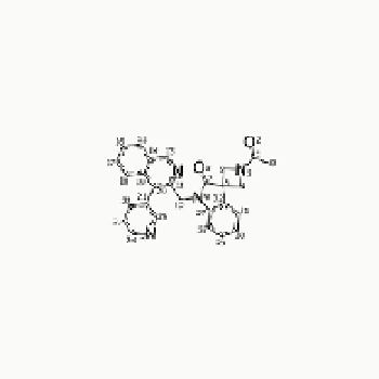 CC(=O)N1CC2(C1)C(=O)N(Cc1ncc3ccccc3c1-c1cccnc1)c1ccccc12